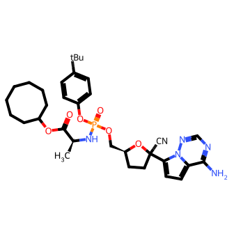 C[C@H](NP(=O)(OC[C@@H]1CCC(C#N)(c2ccc3c(N)ncnn23)O1)Oc1ccc(C(C)(C)C)cc1)C(=O)OC1CCCCCCC1